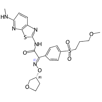 CNc1ccc2nc(NC(=O)/C(=N/O[C@@H]3CCOC3)c3ccc(S(=O)(=O)CCCOC)cc3)sc2n1